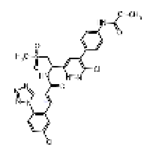 COC(=O)Nc1ccc(-c2cc(C(CS(C)(=O)=O)NC(=O)/C=C/c3cc(Cl)ccc3-n3cnnn3)nnc2Cl)cc1